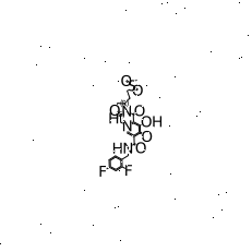 CS(=O)(=O)CC[C@@H]1CO[C@H]2Cn3cc(C(=O)NCc4ccc(F)cc4F)c(=O)c(O)c3C(=O)N12